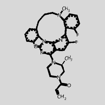 C=CC(=O)N1CCN(c2nc(=O)n3c4nc(c(F)cc24)-c2c(F)cccc2N(C)CCCc2cccc(C(C)C)c2-3)[C@@H](C)C1